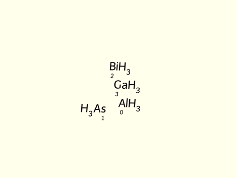 [AlH3].[AsH3].[BiH3].[GaH3]